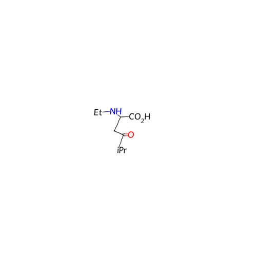 CCNC(CC(=O)C(C)C)C(=O)O